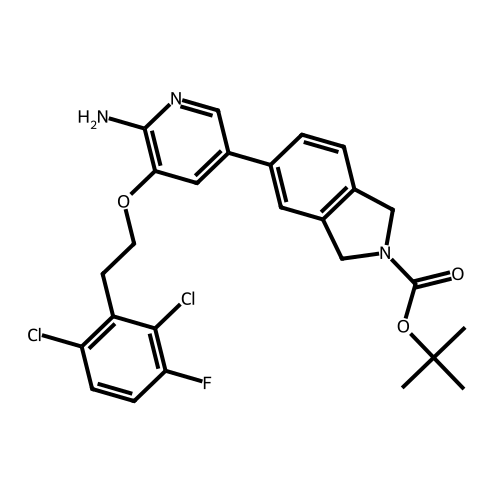 CC(C)(C)OC(=O)N1Cc2ccc(-c3cnc(N)c(OCCc4c(Cl)ccc(F)c4Cl)c3)cc2C1